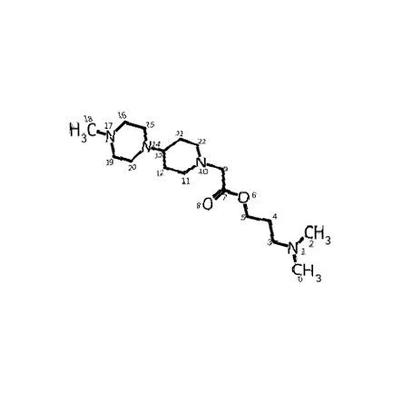 CN(C)CCCOC(=O)CN1CCC(N2CCN(C)CC2)CC1